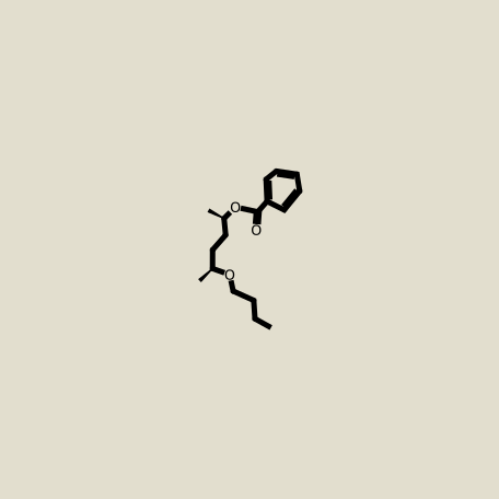 CCCCO[C@@H](C)CC[C@@H](C)OC(=O)c1ccccc1